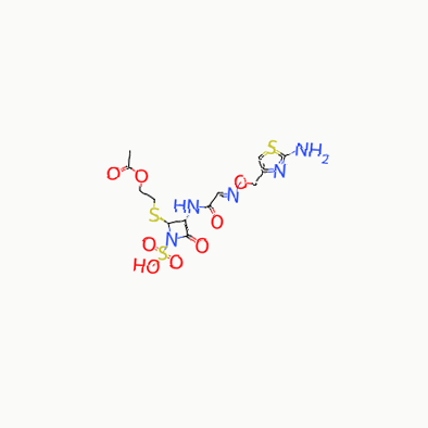 CC(=O)OCCS[C@H]1[C@H](NC(=O)C=NOCc2csc(N)n2)C(=O)N1S(=O)(=O)O